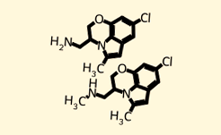 CNCC1COc2cc(Cl)cc3cc(C)n1c23.Cc1cc2cc(Cl)cc3c2n1C(CN)CO3